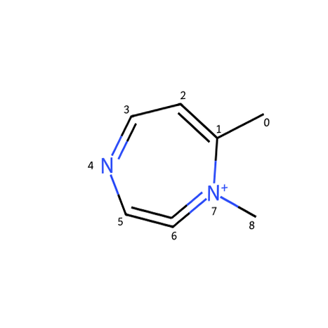 CC1=CC=NC=C=[N+]1C